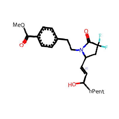 CCCCCC(O)/C=C/C1CC(F)(F)C(=O)N1CCc1ccc(C(=O)OC)cc1